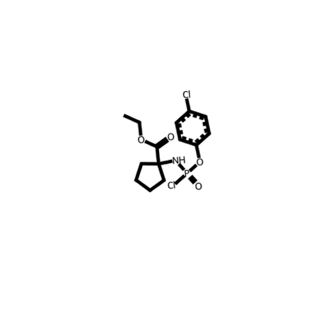 CCOC(=O)C1(NP(=O)(Cl)Oc2ccc(Cl)cc2)CCCC1